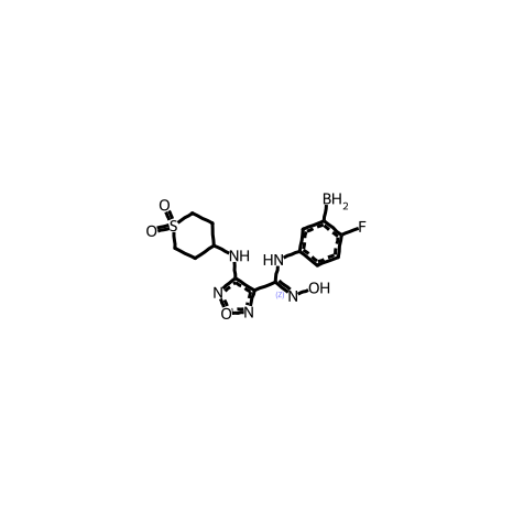 Bc1cc(N/C(=N\O)c2nonc2NC2CCS(=O)(=O)CC2)ccc1F